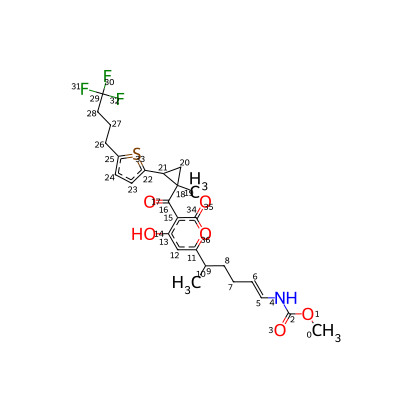 COC(=O)N/C=C/CCC(C)c1cc(O)c(C(=O)C2(C)CC2c2ccc(CCCC(F)(F)F)s2)c(=O)o1